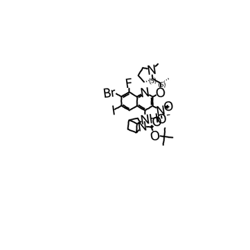 C[C@H](Oc1nc2c(F)c(Br)c(I)cc2c(NC2C3CC2N(C(=O)OC(C)(C)C)C3)c1[N+](=O)[O-])[C@@H]1CCCN1C